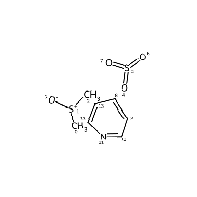 C[S+](C)[O-].O=S(=O)=O.c1ccncc1